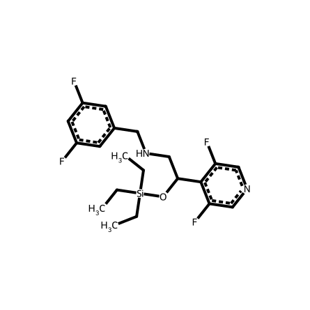 CC[Si](CC)(CC)OC(CNCc1cc(F)cc(F)c1)c1c(F)cncc1F